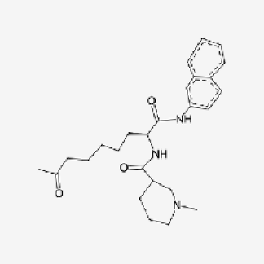 CC(=O)CCCCC[C@H](NC(=O)C1CCCN(C)C1)C(=O)Nc1ccc2ccccc2c1